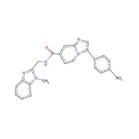 Cn1c(CNC(=O)c2ccn3c(-c4ccc([N+](=O)[O-])cc4)cnc3c2)nc2ccccc21